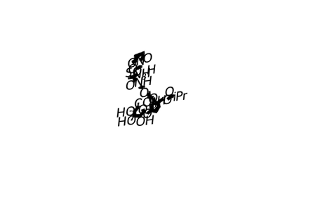 CC(C)C(=O)OCc1ccc(O[C@@H]2O[C@H](C(=O)O)[C@@H](O)[C@H](O)[C@H]2O)cc1OCCOCCNC(=O)C(CS(=O)(=O)O)NC(=O)CN1C(=O)C=CC1=O